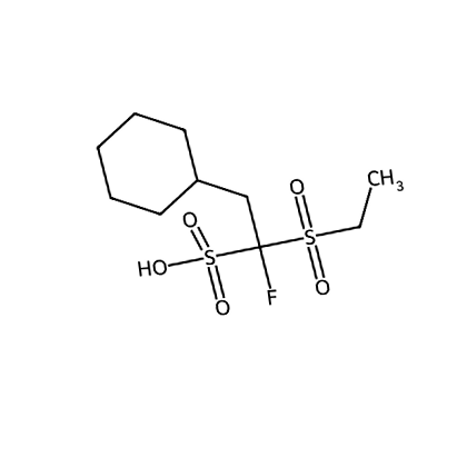 CCS(=O)(=O)C(F)(CC1CCCCC1)S(=O)(=O)O